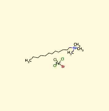 CCCCCCCCCCCC[N+](C)(C)C.[Cl][Fe-]([Cl])([Cl])[Br]